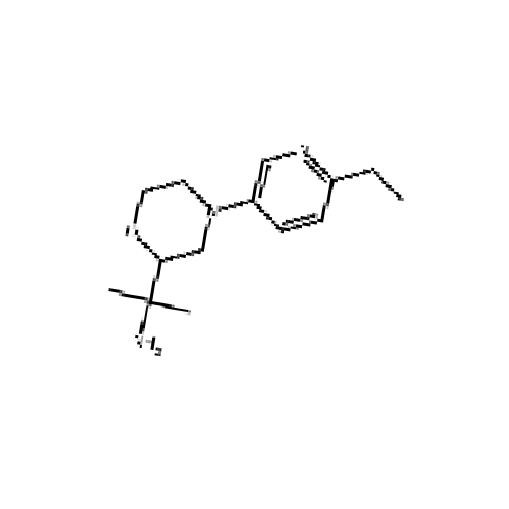 CCc1ccc(N2CCOC(C(C)(C)N)C2)cn1